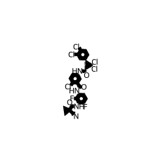 N#CC1(C(=O)Nc2c(F)ccc(NC(=O)c3cc(NC(=O)[C@H]4[C@H](c5ccc(Cl)c(Cl)c5)C4(Cl)Cl)ccc3Cl)c2F)CC1